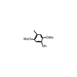 CCCc1cc(OC)c(I)cc1OC